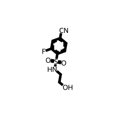 N#Cc1ccc(S(=O)(=O)NCCO)c(F)c1